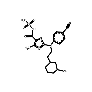 Cc1sc(N(CCC2CCCC(O)C2)c2ccc(C#N)cc2)nc1C(=O)NS(C)(=O)=O